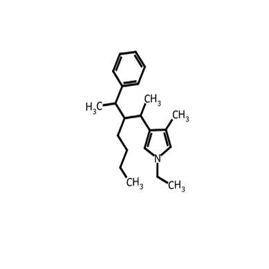 CCCCC(C(C)c1ccccc1)C(C)c1cn(CC)cc1C